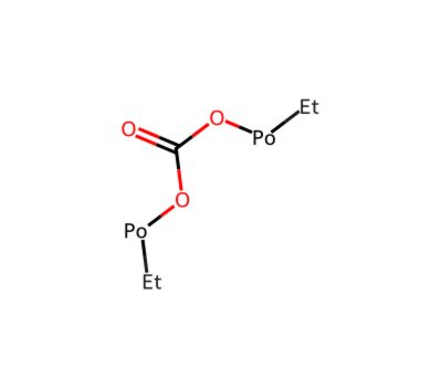 C[CH2][Po][O]C(=O)[O][Po][CH2]C